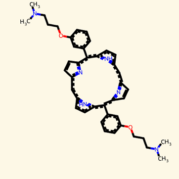 CN(C)CCCOc1cccc(-c2c3nc(cc4ccc([nH]4)c(-c4cccc(OCCCN(C)C)c4)c4nc(cc5ccc2[nH]5)C=C4)C=C3)c1